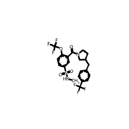 CNS(=O)(=O)c1ccc(OC(F)(F)F)c(C(=O)N2CCC(Cc3ccc(C(F)(F)F)cc3)C2)c1